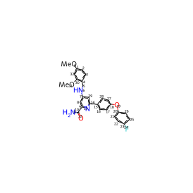 COc1ccc(CNc2cc(C(N)=O)nc(-c3ccc(Oc4ccc(F)cc4)cc3)c2)c(OC)c1